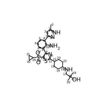 Cc1cc(-c2cccc(-c3nc(C4CCC(NCC(C)(C)O)CC4)sc3S(=O)(=O)C3CC3)c2N)n[nH]1